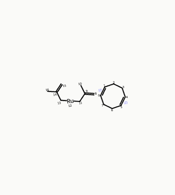 C1=C\CC/C=C\CC/1.C=C(C)[CH2][Ru][CH2]C(=C)C